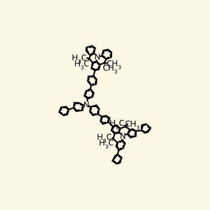 CC1(C)c2ccccc2N2c3ccccc3C(C)(C)c3cc(-c4ccc(-c5ccc(N(c6ccc(-c7ccccc7)cc6)c6ccc(-c7ccc(-c8cc9c%10c(c8)C(C)(C)c8cc(-c%11ccccc%11)ccc8N%10c8ccc(-c%10ccccc%10)cc8C9(C)C)cc7)cc6)cc5)cc4)cc1c32